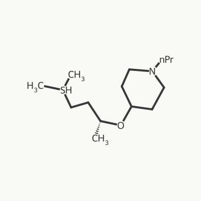 CCCN1CCC(O[C@H](C)CC[SH](C)C)CC1